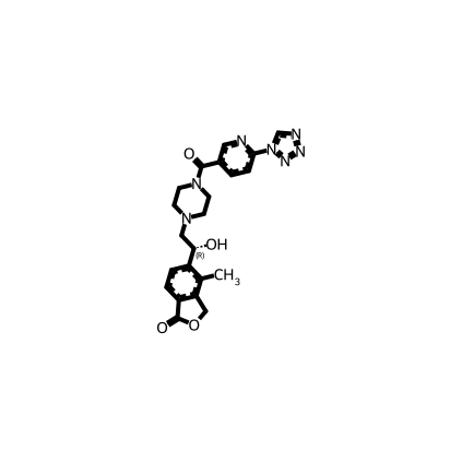 Cc1c([C@@H](O)CN2CCN(C(=O)c3ccc(-n4cnnn4)nc3)CC2)ccc2c1COC2=O